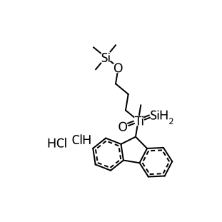 C[Si](C)(C)OCC[CH2][Ti]([CH3])(=[O])(=[SiH2])[CH]1c2ccccc2-c2ccccc21.Cl.Cl